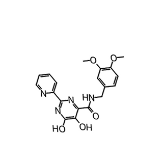 COc1ccc(CNC(=O)c2nc(-c3ccccn3)nc(O)c2O)cc1OC